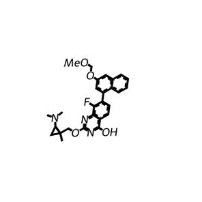 COCOc1cc(-c2ccc3c(O)nc(OCC4(C)CC4N(C)C)nc3c2F)c2ccccc2c1